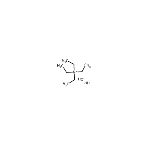 CC[N+](CC)(CC)CC.[HH].[OH-]